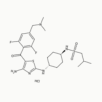 CC(C)CS(=O)(=O)N[C@H]1CC[C@H](Nc2nc(N)c(C(=O)c3c(F)cc(CN(C)C)cc3F)s2)CC1.Cl